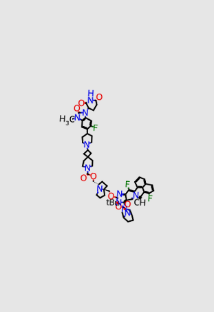 C#Cc1c(F)ccc2cccc(-c3ncc4c(N5CC6CCC(C5)N6C(=O)OC(C)(C)C)nc(OC[C@@]56CCCN5[C@H](COC(=O)N5CCC7(CC5)CC(N5CCC(c8cc9c(cc8F)n(C8CCC(=O)NC8=O)c(=O)n9C)CC5)C7)CC6)nc4c3F)c12